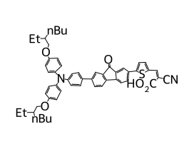 CCCCC(CC)COc1ccc(N(c2ccc(OCC(CC)CCCC)cc2)c2ccc(-c3ccc4c(c3)C(=O)c3cc(-c5ccc(C=C(C#N)C(=O)O)s5)ccc3-4)cc2)cc1